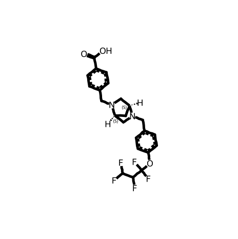 O=C(O)c1ccc(CN2C[C@@H]3C[C@H]2CN3Cc2ccc(OC(F)(F)C(F)C(F)F)cc2)cc1